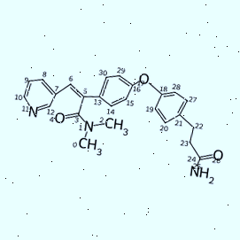 CN(C)C(=O)C(=Cc1cccnc1)c1ccc(Oc2ccc(CCC(N)=O)cc2)cc1